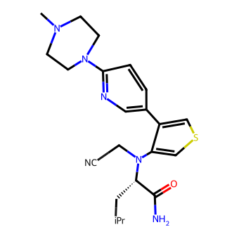 CC(C)C[C@@H](C(N)=O)N(CC#N)c1cscc1-c1ccc(N2CCN(C)CC2)nc1